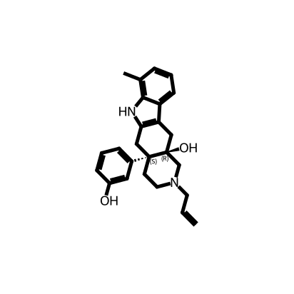 C=CCN1CC[C@@]2(c3cccc(O)c3)Cc3[nH]c4c(C)cccc4c3C[C@]2(O)C1